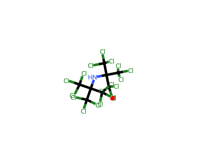 ClC(Cl)(Cl)C(NC(C(Cl)(Cl)Cl)(C(Cl)(Cl)Cl)C(Cl)(Cl)Cl)(C(Cl)(Cl)Cl)C(Cl)(Cl)Cl